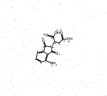 Nc1cccc2c1C(=O)N(C(CC(=O)O)C(=O)O)C2=O